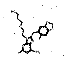 Nc1nc(F)nc2c1nc(Cc1cc3c(cc1I)OCO3)n2CCOCCCO